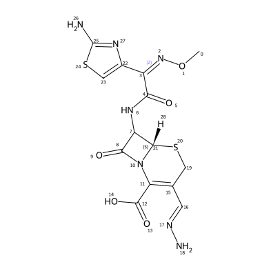 CO/N=C(\C(=O)NC1C(=O)N2C(C(=O)O)=C(C=NN)CS[C@@H]12)c1csc(N)n1